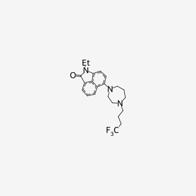 CCN1C(=O)c2cccc3c(N4CCCN(CCCC(F)(F)F)CC4)ccc1c23